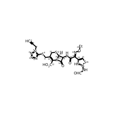 C#CCn1nnnc1SCC1=C(C(=O)O)N2C(=O)C(NC(=O)C(=NOCC)C3=CSN(NC=O)N3)[C@@H]2SC1